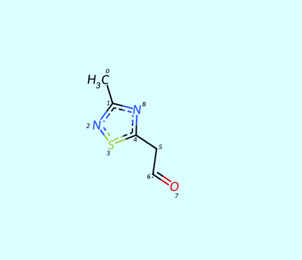 Cc1nsc(C[C]=O)n1